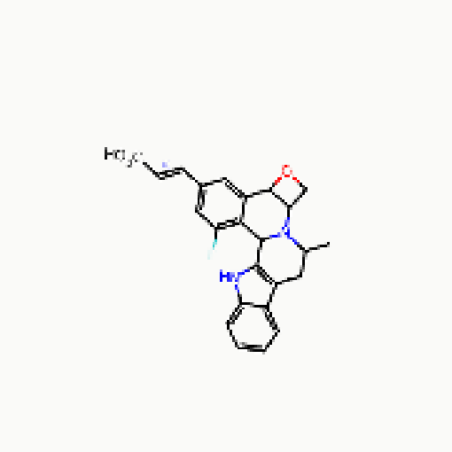 CC1Cc2c([nH]c3ccccc23)C2c3c(F)cc(/C=C/C(=O)O)cc3C3OCC3N12